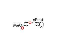 CCCCC[C@@H](COc1ccc(C(=O)OC)cc1)c1ccc2c(c1)C(C)(C)CCC2(C)C